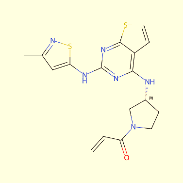 C=CC(=O)N1CC[C@@H](Nc2nc(Nc3cc(C)ns3)nc3sccc23)C1